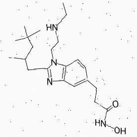 CCNCCn1c(CC(C)CC(C)(C)C)nc2cc(CCC(=O)NO)ccc21